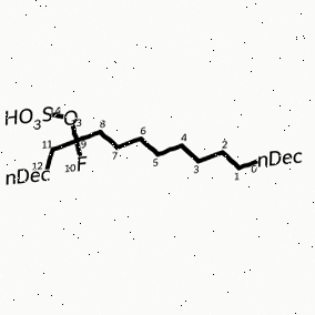 CCCCCCCCCCCCCCCCCCC(F)(CCCCCCCCCCC)OS(=O)(=O)O